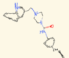 Cc1ccc(NC(=O)N2CCN(Cc3cnc4ccccc4c3)CC2)cc1